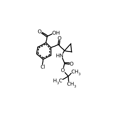 CC(C)(C)OC(=O)NC1(C(=O)c2cc(Cl)ccc2C(=O)O)CC1